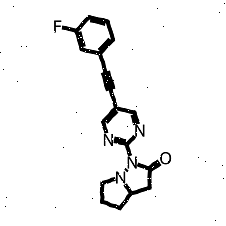 O=C1CC2CCCN2N1c1ncc(C#Cc2cccc(F)c2)cn1